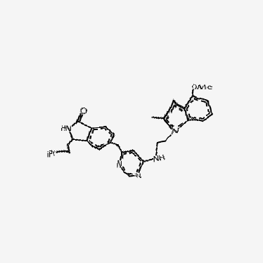 COc1cccc2c1cc(C)n2CCNc1cc(-c2ccc3c(c2)C(CC(C)C)NC3=O)ncn1